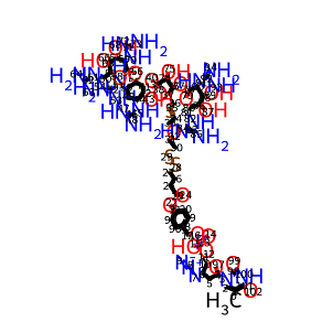 Cc1cn([C@H]2CC(N=[N+]=[N-])[C@@H](COP(=O)(O)OCc3ccc(OC(=O)CCCSSCCOCCSC[C@H]4O[C@@H](OC5C(O)[C@H](NC(=N)N)CC(NC(=N)N)[C@H]5O[C@H]5OC(CNC(=N)N)[C@@H](O)C(O)C5NC(=N)N)C(O)C4OC4O[C@@H](CNC(=N)N)C(O)C(O)[C@H]4NC(=N)N)cc3)O2)c(=O)[nH]c1=O